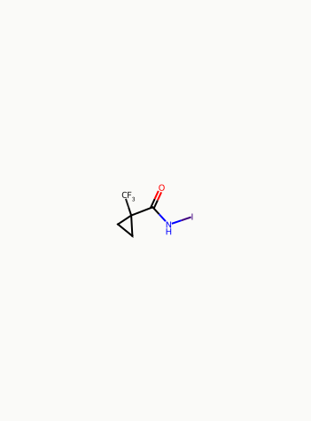 O=C(NI)C1(C(F)(F)F)CC1